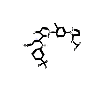 Cc1cc(-n2nccc2OC(F)F)ccc1-n1ccc(=O)c(/C(=C/C=N)Nc2cccc(C(F)(F)F)c2)n1